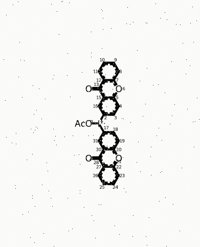 CC(=O)O[I+](c1ccc2oc3ccccc3c(=O)c2c1)c1ccc2oc3ccccc3c(=O)c2c1